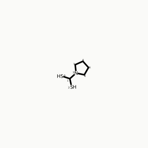 SC(S)N1CCCC1